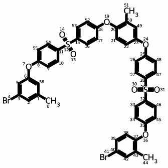 Cc1cc(Br)cc(Oc2ccc(S(=O)(=O)c3ccc(Oc4ccc(Oc5ccc(S(=O)(=O)c6ccc(Oc7ccc(Br)cc7C)cc6)cc5)cc4C)cc3)cc2)c1